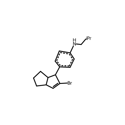 CC(C)CNc1ccc(C2C(Br)=CC3CCCC32)cc1